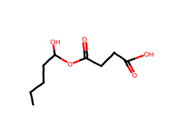 CCCCC(O)OC(=O)CCC(=O)O